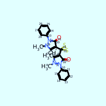 Cc1c(C2(c3c(C)n(C)n(-c4ccccc4)c3=O)SS2)c(=O)n(-c2ccccc2)n1C